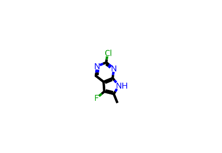 Cc1[nH]c2nc(Cl)ncc2c1F